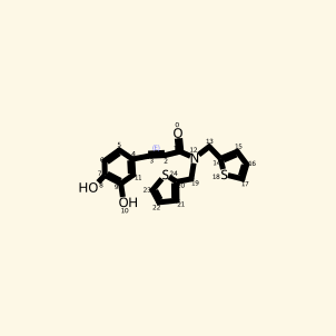 O=C(/C=C/c1ccc(O)c(O)c1)N(Cc1cccs1)Cc1cccs1